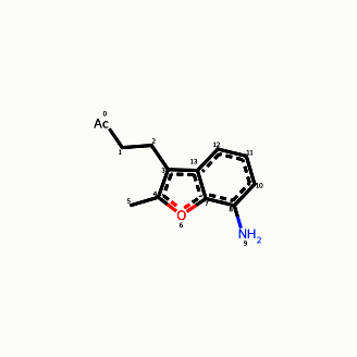 CC(=O)CCc1c(C)oc2c(N)cccc12